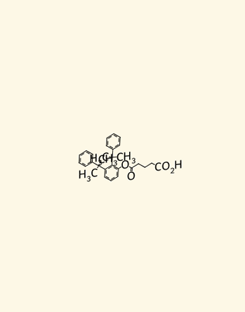 CC(C)(c1ccccc1)c1cccc(OC(=O)CCCC(=O)O)c1C(C)(C)c1ccccc1